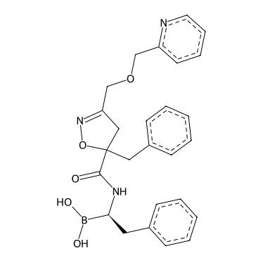 O=C(N[C@@H](Cc1ccccc1)B(O)O)C1(Cc2ccccc2)CC(COCc2ccccn2)=NO1